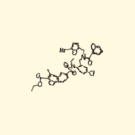 CCOC(=O)c1oc2ccc(S(=O)(=O)N(CC)c3ccc(Cl)cc3CN(Cc3ccc(Br)o3)C(=O)c3ccco3)cc2c1C